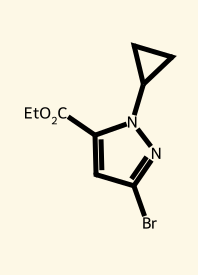 CCOC(=O)c1cc(Br)nn1C1CC1